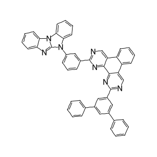 c1ccc(-c2cc(-c3ccccc3)cc(-c3ncc4c5ccccc5c5cnc(-c6cccc(-n7c8ccccc8n8c9ccccc9nc78)c6)nc5c4n3)c2)cc1